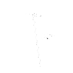 CCCCCCCCCCCCCCCC[N+](C)(C)C.O=S(=O)([O-])[O-].[Na+]